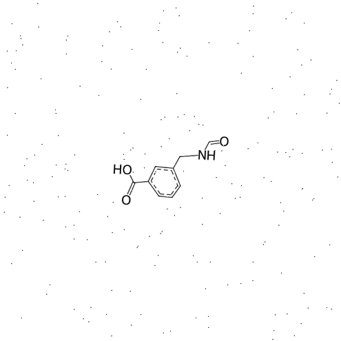 O=CNCc1cccc(C(=O)O)c1